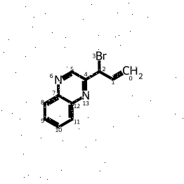 C=CC(Br)c1cnc2ccccc2n1